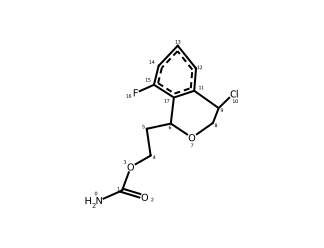 NC(=O)OCCC1OCC(Cl)c2cccc(F)c21